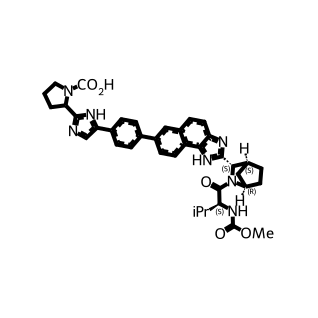 COC(=O)N[C@H](C(=O)N1[C@@H]2CC[C@@H](C2)[C@H]1c1nc2ccc3cc(-c4ccc(-c5cnc(C6CCCN6C(=O)O)[nH]5)cc4)ccc3c2[nH]1)C(C)C